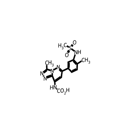 Cc1ccc(-c2cc(NC(=O)O)c3nnc(C)n3n2)cc1NS(C)(=O)=O